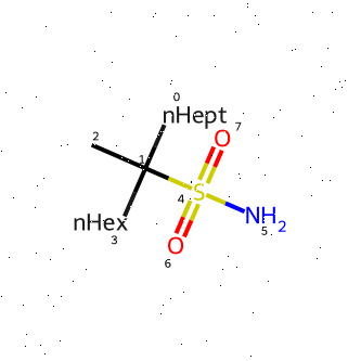 CCCCCCCC(C)(CCCCCC)S(N)(=O)=O